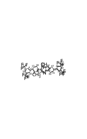 Cc1c(-c2cc(C(F)(F)F)cc(C(F)(F)F)c2)ccc2c1CC1=C2N(C)C2CC3=C(C=CC(c4cc(C(F)(F)F)cc(C(F)(F)F)c4)C3)C2=N1